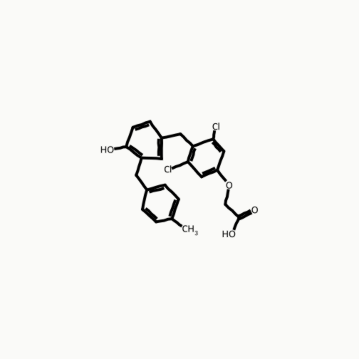 Cc1ccc(Cc2cc(Cc3c(Cl)cc(OCC(=O)O)cc3Cl)ccc2O)cc1